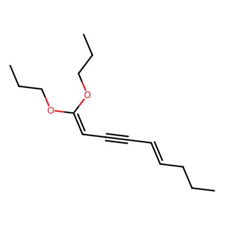 CCC/C=C/C#CC=C(OCCC)OCCC